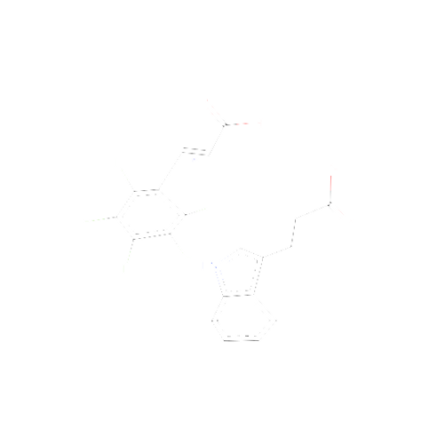 O=C(O)/C=C/c1c(F)c(F)c(F)c(F)c1F.O=C(O)CCc1c[nH]c2ccccc12